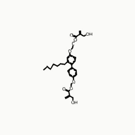 C=C(CO)C(=O)OCCOc1ccc(-c2ccc(OCOC(=O)C(=C)CO)cc2)c(CCCCCCC)c1